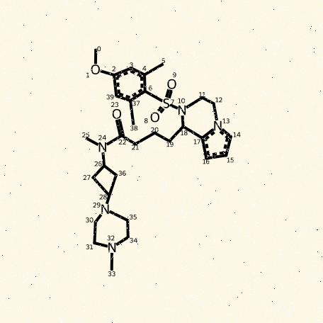 COc1cc(C)c(S(=O)(=O)N2CCn3cccc3C2CCCC(=O)N(C)C2CC(N3CCN(C)CC3)C2)c(C)c1